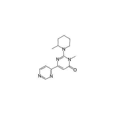 CC1CCCCN1c1nc(-c2ccncn2)cc(=O)n1C